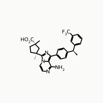 C[C@@H](c1ccc(-c2nc([C@@]3(C)CC[C@](C)(C(=O)O)C3)n3ccnc(N)c23)cc1)c1cccc(C(F)(F)F)c1